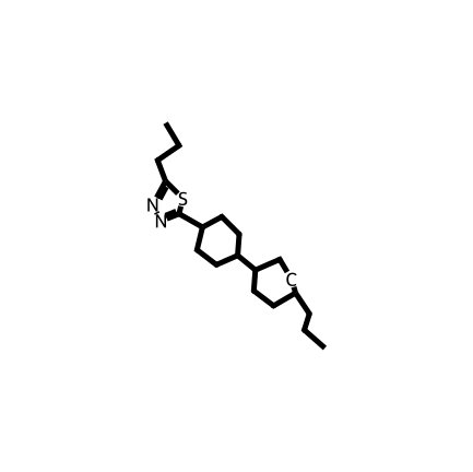 CCCc1nnc(C2CCC(C3CCC(CCC)CC3)CC2)s1